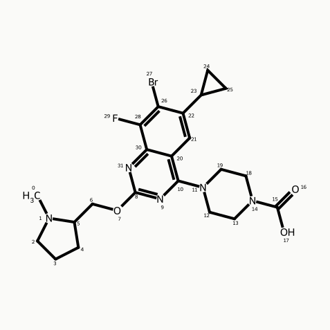 CN1CCCC1COc1nc(N2CCN(C(=O)O)CC2)c2cc(C3CC3)c(Br)c(F)c2n1